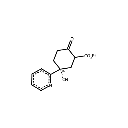 CCOC(=O)C1C[C@@](C#N)(c2ccccn2)CCC1=O